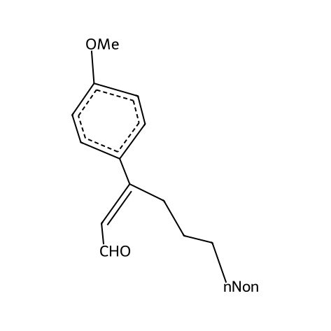 CCCCCCCCCCCC/C(=C\C=O)c1ccc(OC)cc1